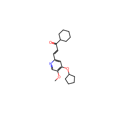 COc1cnc(C=CC(=O)C2CCCCC2)cc1OC1CCCC1